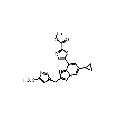 CC(C)(C)OC(=O)c1ncc(-c2cc(C3CC3)cn3cc(Cn4cc(C(=O)O)nn4)nc23)s1